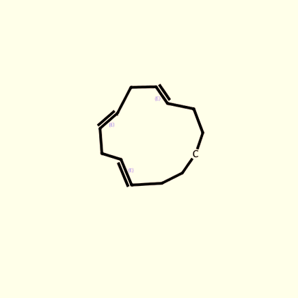 [C]1=C/C/C=C/CCCCC/C=C/C/1